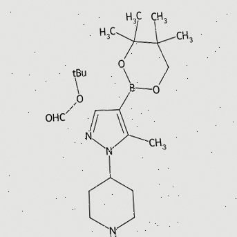 CC(C)(C)OC=O.Cc1c(B2OCC(C)(C)C(C)(C)O2)cnn1C1CCNCC1